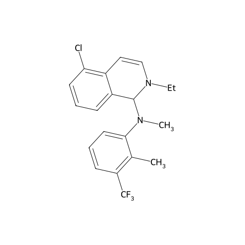 CCN1C=Cc2c(Cl)cccc2C1N(C)c1cccc(C(F)(F)F)c1C